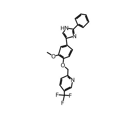 COc1cc(-c2c[nH]c(-c3ccccc3)n2)ccc1OCc1ccc(C(F)(F)F)cn1